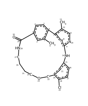 Cc1cc2ccc1-c1nc(ncc1C)Nc1ccc(Cl)c(c1)COCCCCNC2=O